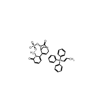 CC=C[P+](c1ccccc1)(c1ccccc1)c1ccccc1.Cn1c(C2=CCN3CC2N(OS(=O)(=O)[O-])C3=O)cccc1=O